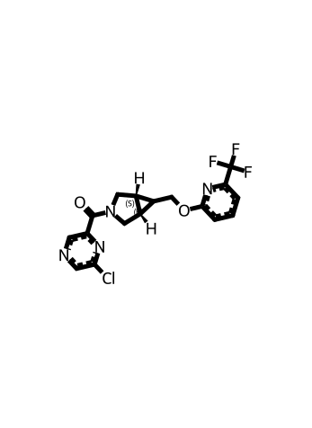 O=C(c1cncc(Cl)n1)N1C[C@@H]2C(COc3cccc(C(F)(F)F)n3)[C@@H]2C1